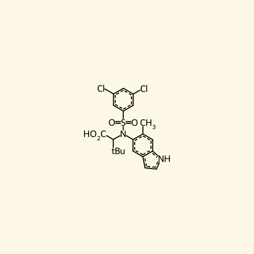 Cc1cc2[nH]ccc2cc1N(C(C(=O)O)C(C)(C)C)S(=O)(=O)c1cc(Cl)cc(Cl)c1